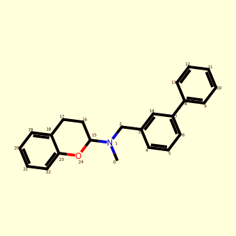 CN(Cc1cccc(-c2ccccc2)c1)C1CCc2ccccc2O1